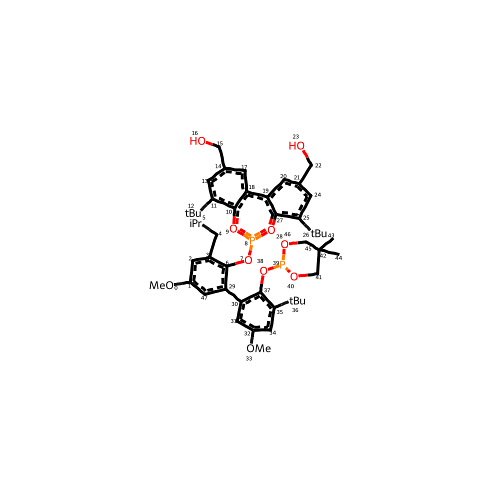 COc1cc(CC(C)C)c(Op2oc3c(C(C)(C)C)cc(CO)cc3c3cc(CO)cc(C(C)(C)C)c3o2)c(-c2cc(OC)cc(C(C)(C)C)c2OP2OCC(C)(C)CO2)c1